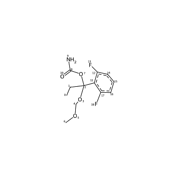 CCC(OCOC)(OC(N)=O)c1c(F)cccc1F